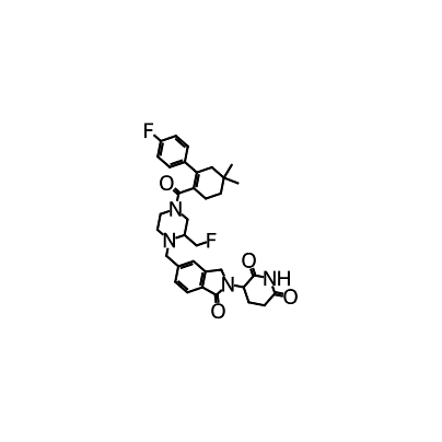 CC1(C)CCC(C(=O)N2CCN(Cc3ccc4c(c3)CN(C3CCC(=O)NC3=O)C4=O)C(CF)C2)=C(c2ccc(F)cc2)C1